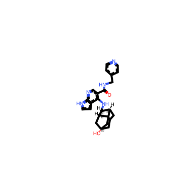 O=C(NCc1ccncc1)c1cnc2[nH]ccc2c1N[C@H]1[C@@H]2CC3C[C@H]1C[C@@](O)(C3)C2